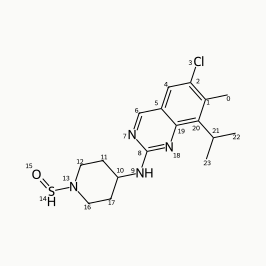 Cc1c(Cl)cc2cnc(NC3CCN([SH]=O)CC3)nc2c1C(C)C